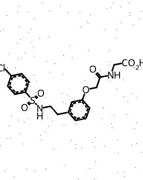 O=C(O)CNC(=O)COc1cccc(CCNS(=O)(=O)c2ccc(Cl)cc2)c1